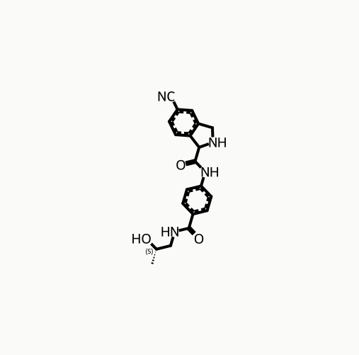 C[C@H](O)CNC(=O)c1ccc(NC(=O)C2NCc3cc(C#N)ccc32)cc1